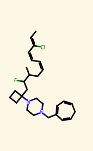 C/C=C(Cl)/C=C\C=C/CC(C)C(F)CC1(N2CCN(CC3=CC=CCC=C3)CC2)CCC1